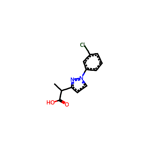 CC(C(=O)O)c1ccn(-c2cccc(Cl)c2)n1